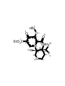 CCCCOc1c2n(cc(C(=O)OCC)c1=O)[C@H]1COCC[C@@]1(C(F)F)NC2=O